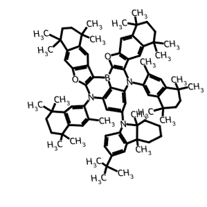 Cc1cc2c(cc1N1c3cc(N4c5ccc(C(C)(C)C)cc5C5(C)CCCCC45C)cc4c3B(c3oc5cc6c(cc5c3N4c3cc4c(cc3C)C(C)(C)CCC4(C)C)C(C)(C)CCC6(C)C)c3c1oc1cc4c(cc31)C(C)(C)CCC4(C)C)C(C)(C)CCC2(C)C